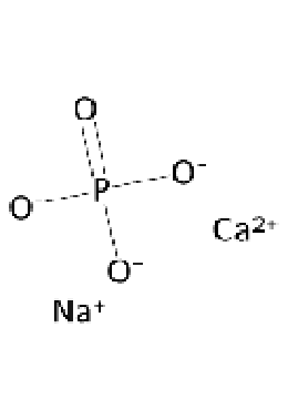 O=P([O-])([O-])[O-].[Ca+2].[Na+]